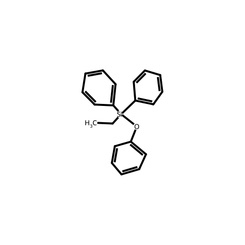 CC[Si](Oc1ccccc1)(c1ccccc1)c1ccccc1